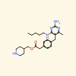 CCCCCNc1nc(N)nc(C)c1Cc1ccc(CC(=O)OCC2CCNCC2)cc1